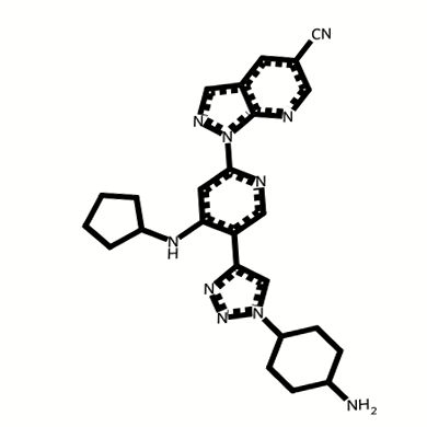 N#Cc1cnc2c(cnn2-c2cc(NC3CCCC3)c(-c3cn(C4CCC(N)CC4)nn3)cn2)c1